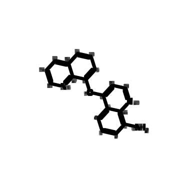 Nc1cccc2c(Oc3cccc4cccnc34)ccnc12